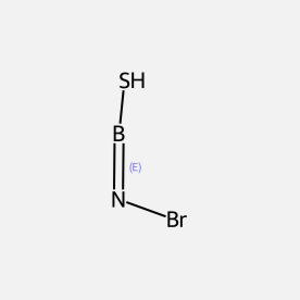 S/B=N/Br